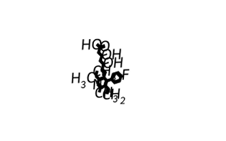 C=Cc1c(C)nc(C(C)C)c(/C=C/[C@H](O)C[C@H](O)CC(=O)O)c1-c1ccc(F)cc1